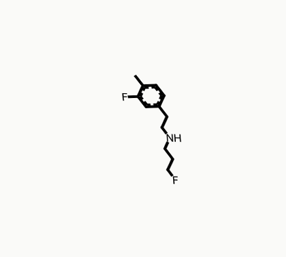 Cc1ccc(CCNCCCF)cc1F